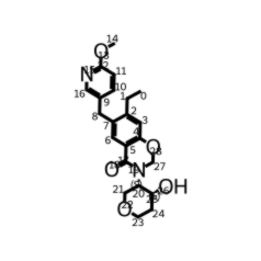 CCc1cc2c(cc1Cc1ccc(OC)nc1)C(=O)N([C@H]1COCC[C@@H]1O)CO2